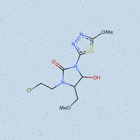 COCC1C(O)N(c2nnc(OC)s2)C(=O)N1CCCl